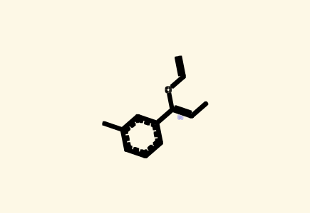 C=CO/C(=C\C)c1cccc(C)c1